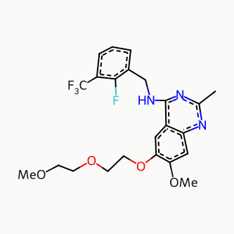 COCCOCCOc1cc2c(NCc3cccc(C(F)(F)F)c3F)nc(C)nc2cc1OC